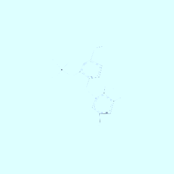 [2H]C([2H])([2H])Oc1cc(OC(F)(F)F)ccc1Oc1cc(C(F)(F)F)cc(F)c1C(=O)O